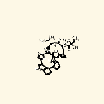 CCC(C)(C)C(=O)N[C@H]1Cc2ccc3c(c2)C24c5cccc(c5NC2O3)-c2cccc3[nH]cc(c23)-c2cnc(o2)-c2nc(oc24)[C@H](C(C)C)NC1=O